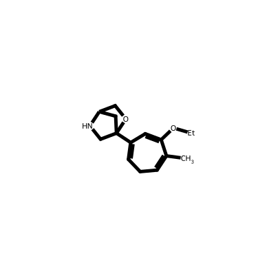 CCOC1=CC(C23CNC(CO2)C3)=CCC=C1C